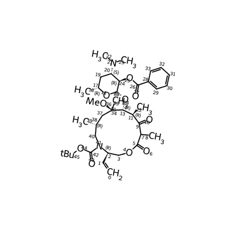 C=C[C@@H]1COC(=O)C(C)C(=O)[C@H](C)[C@@H](O[C@@H]2O[C@H](C)C[C@H](N(C)C)[C@H]2OC(=O)c2ccccc2)[C@](C)(OC)C[C@@H](C)CN1C(=O)OC(C)(C)C